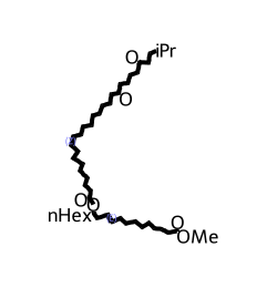 CCCCCCC(C/C=C/CCCCCCCCC(=O)OC)OC(=O)CCCCCCC/C=C\CCCCCCCCC(=O)CCCCC(=O)CCC(C)C